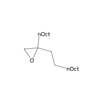 CCCCCCCCCCC1(CCCCCCCC)CO1